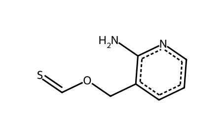 Nc1ncccc1COC=S